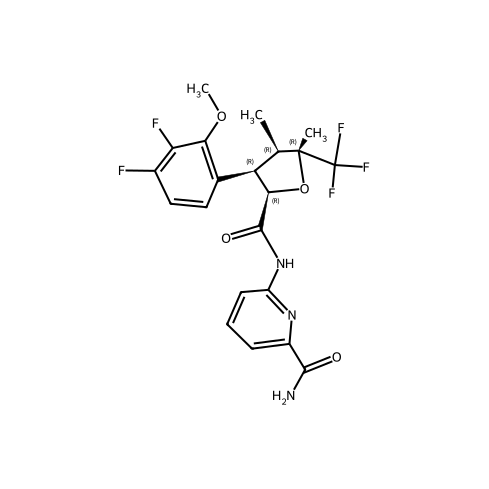 COc1c([C@H]2[C@@H](C)[C@](C)(C(F)(F)F)O[C@H]2C(=O)Nc2cccc(C(N)=O)n2)ccc(F)c1F